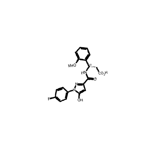 COc1ccccc1[C@H](CC(=O)O)NC(=O)c1cc(O)n(-c2ccc(F)cc2)n1